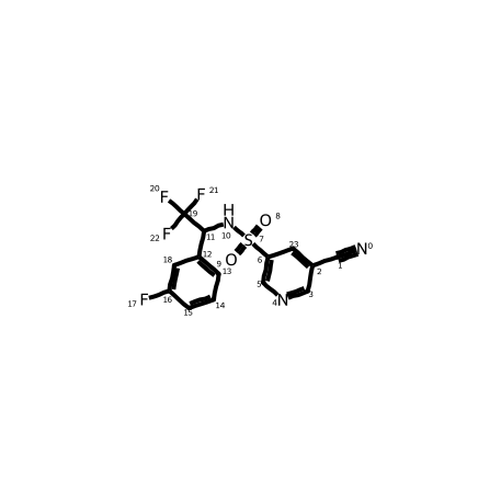 N#Cc1cncc(S(=O)(=O)NC(c2cccc(F)c2)C(F)(F)F)c1